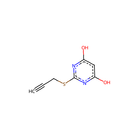 C#CCSc1nc(O)cc(O)n1